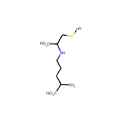 CCCSCC(NCCCC(C)C(=O)O)C(=O)O